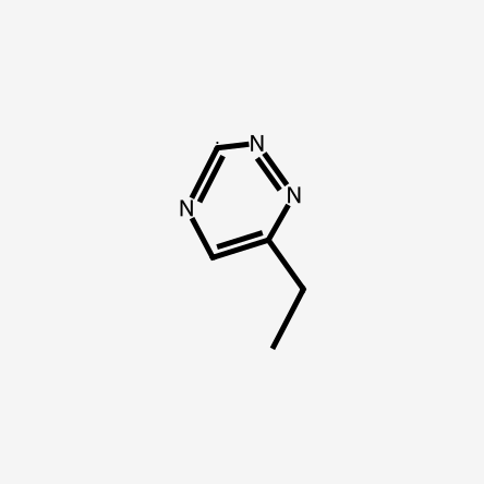 CCc1cn[c]nn1